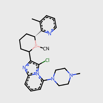 Cc1cccnc1[C@H]1CCCC(c2nc3cccc(N4CCN(C)CC4)n3c2Cl)B1C#N